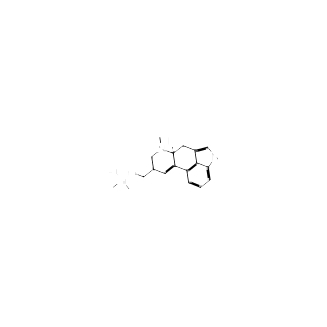 CN1CC(CO[Si](C)(C)C(C)(C)C)C=C2c3cccc4[nH]cc(c34)C[C@H]21